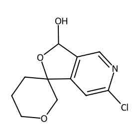 OC1OC2(CCCOC2)c2cc(Cl)ncc21